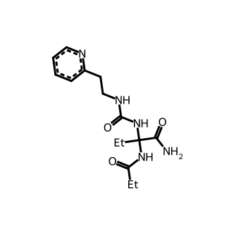 CCC(=O)NC(CC)(NC(=O)NCCc1ccccn1)C(N)=O